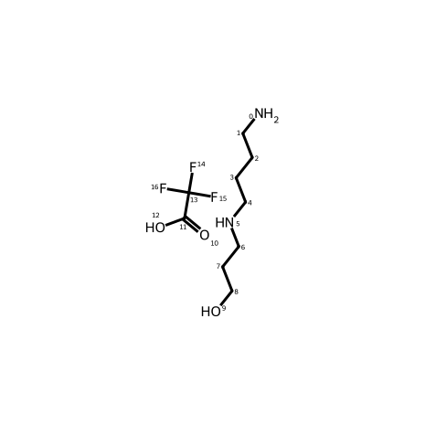 NCCCCNCCCO.O=C(O)C(F)(F)F